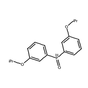 CC(C)Oc1cccc([PH](=O)c2cccc(OC(C)C)c2)c1